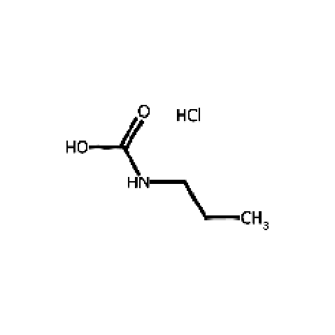 CCCNC(=O)O.Cl